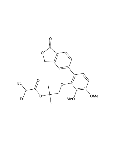 CCC(CC)C(=O)OC(C)(C)COc1c(-c2ccc3c(c2)COC3=O)ccc(OC)c1OC